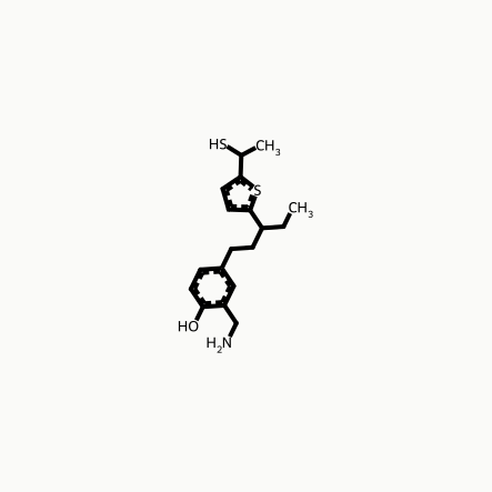 CCC(CCc1ccc(O)c(CN)c1)c1ccc(C(C)S)s1